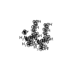 CC(C)(ON=C(C(=O)N[C@@H]1C(=O)N2C(C(=O)O)=C(C[n+]3cccc(NC(=O)C4=CC(=O)C(O)C=N4)c3)CS[C@@H]12)c1nsc(N)n1)C(=O)O.CC(C)(ON=C(C(=O)N[C@@H]1C(=O)N2C(C(=O)O)=C(C[n+]3cccc(NC(=O)C4=CC(=O)C(O)C=N4)c3)CS[C@@H]12)c1nsc(N)n1)C(=O)O.O=S(=O)([O-])[O-]